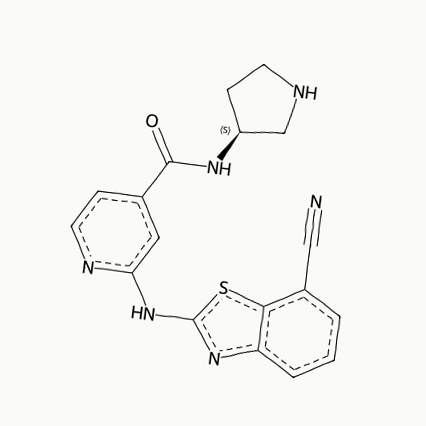 N#Cc1cccc2nc(Nc3cc(C(=O)N[C@H]4CCNC4)ccn3)sc12